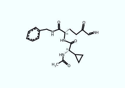 CC(=O)N[C@H](C(=O)N[C@@H](CCC(=O)C=N)C(=O)NCc1ccccc1)C1CC1